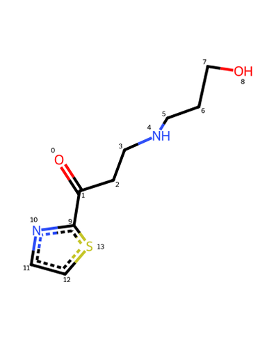 O=C(CCNCCCO)c1nccs1